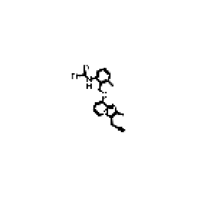 C#CCc1c(C)nc2c(OCc3c(C)cccc3NC(=O)CC)cccn12